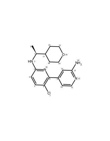 C[C@H](Nc1ccc(Cl)c(-c2ccnc(N)c2)n1)C1CCOCC1